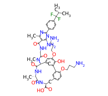 Cc1nc(-c2ccc(C(F)(F)C(C)C)cc2)nc(N)c1C(=O)NCC(=O)N(C)[C@@H]1C(=O)N[C@@H](C)C(=O)N[C@H](C(=O)O)Cc2ccc(OCCCN)c(c2)-c2cc1cc(OCCCN)c2O